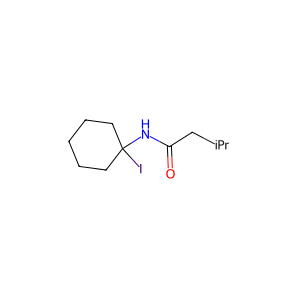 CC(C)CC(=O)NC1(I)CCCCC1